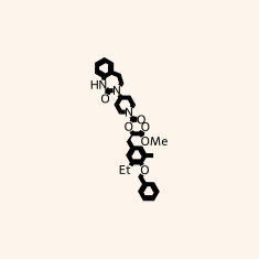 CCc1cc(C[C@@H](OC(=O)N2CCC(N3CCc4ccccc4NC3=O)CC2)C(=O)OC)cc(C)c1OCc1ccccc1